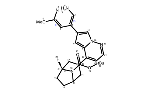 CO/C(N)=C/C(=C\N)c1cc2c(N3CC4CC[C@H](C3)N4C(=O)OC(C)(C)C)ccnn2c1